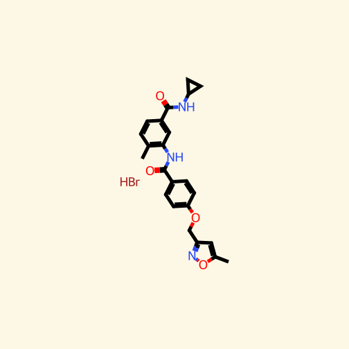 Br.Cc1cc(COc2ccc(C(=O)Nc3cc(C(=O)NC4CC4)ccc3C)cc2)no1